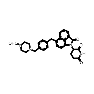 O=CN1CCN(Cc2ccc(Cc3ccc4c5c(cccc35)C(=O)N4C3CCC(=O)NC3=O)cc2)CC1